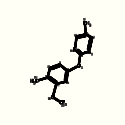 Cc1cnc(Oc2ccc(C)c(OC(F)(F)F)c2)nc1